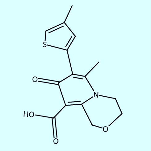 Cc1csc(-c2c(C)n3c(c(C(=O)O)c2=O)COCC3)c1